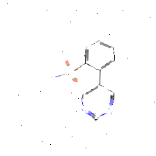 NS(=O)(=O)c1ccccc1-c1cncnc1